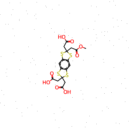 COC(=O)CC1(CC(=O)O)Sc2cc3c(cc2S1)SC(CC(=O)O)(CC(=O)O)S3